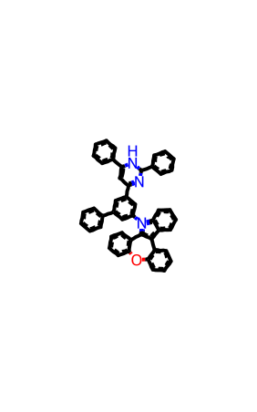 C1=C(c2ccccc2)NC(c2ccccc2)N=C1c1cc(-c2ccccc2)cc(-n2c3c(c4ccccc42)-c2ccccc2Oc2ccccc2-3)c1